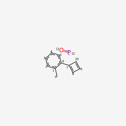 Cc1ccccc1C1=CC=C1.O=[P]